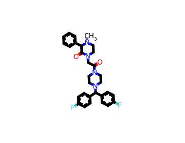 CN1CCN(CC(=O)N2CCN(C(c3ccc(F)cc3)c3ccc(F)cc3)CC2)C(=O)C1c1ccccc1